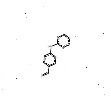 O=Cc1ccc(Nc2ncccn2)cc1